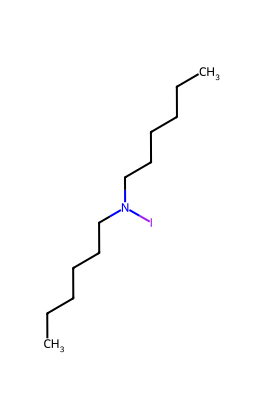 CCCCCCN(I)CCCCCC